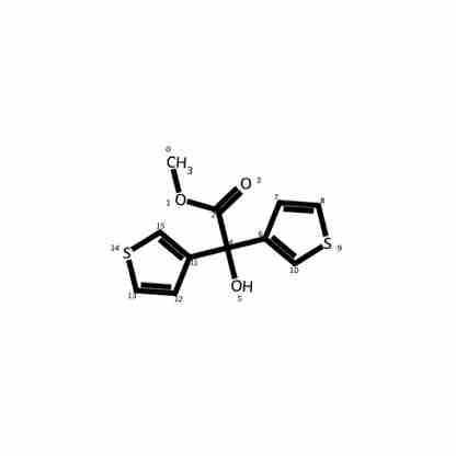 COC(=O)C(O)(c1ccsc1)c1ccsc1